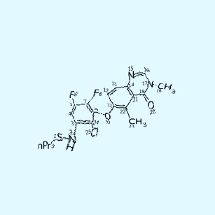 CCCSNc1cc(F)c(F)c(Oc2ccc3ncn(C)c(=O)c3c2C)c1Cl